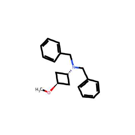 CO[C@H]1C[C@H](N(Cc2ccccc2)Cc2ccccc2)C1